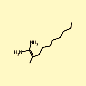 CCCCCCCCC(C)=C(N)N